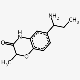 CCC(N)c1ccc2c(c1)NC(=O)C(C)O2